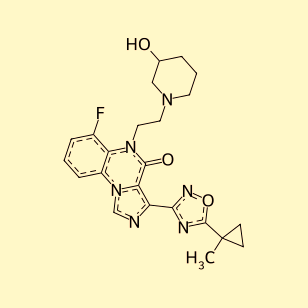 CC1(c2nc(-c3ncn4c3c(=O)n(CCN3CCCC(O)C3)c3c(F)cccc34)no2)CC1